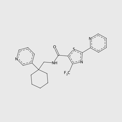 O=C(NCC1(c2cccnc2)CCCCC1)c1sc(-c2ccccn2)nc1C(F)(F)F